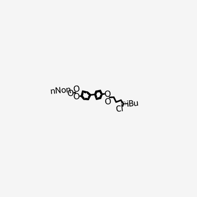 CCCCCCCCCOC(=O)Oc1ccc(-c2ccc(OC(=O)CCC[C@H](Cl)C(C)CC)cc2)cc1